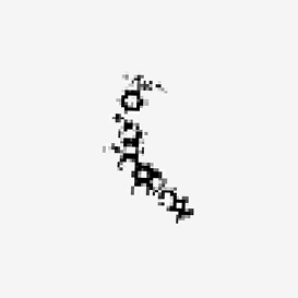 CC(C)n1c(=O)c(-c2cc(F)c(NS(=O)(=O)CC3CC(F)(F)C3)c(F)c2)nc2cnc(N[C@H]3CC[C@H](N(C)C)CC3)nc21